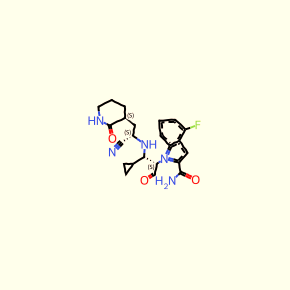 N#C[C@H](C[C@@H]1CCCNC1=O)NC(C1CC1)[C@@H](C=O)n1c(C(N)=O)cc2c(F)cccc21